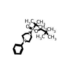 CC(C)(C)COP(=O)(N1CCN(c2ccccc2)CC1)C(C)(C)C